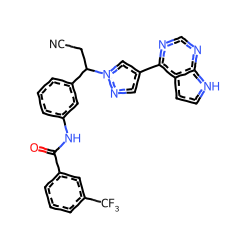 N#CCC(c1cccc(NC(=O)c2cccc(C(F)(F)F)c2)c1)n1cc(-c2ncnc3[nH]ccc23)cn1